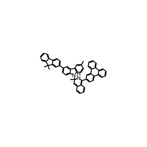 Cc1ccc2c(c1)c1cc(-c3ccc4c(c3)C(C)(C)c3ccccc3-4)ccc1n2C1(C)C=c2ccccc2=C(c2ccc3c4ccccc4c4ccccc4c3c2)N1